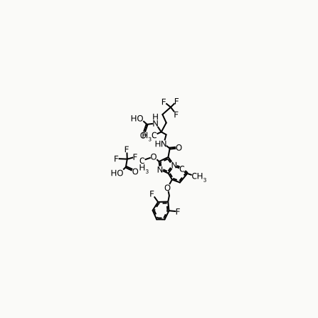 COc1nc2c(OCc3c(F)cccc3F)cc(C)cn2c1C(=O)NCC(C)(CCC(F)(F)F)NC(=O)O.O=C(O)C(F)(F)F